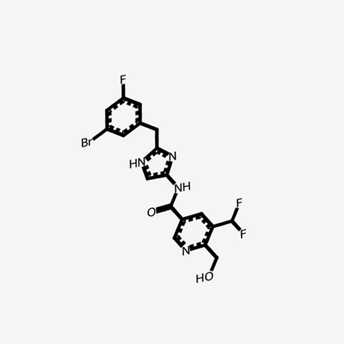 O=C(Nc1c[nH]c(Cc2cc(F)cc(Br)c2)n1)c1cnc(CO)c(C(F)F)c1